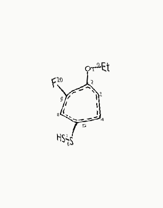 CCOc1ccc(SS)cc1F